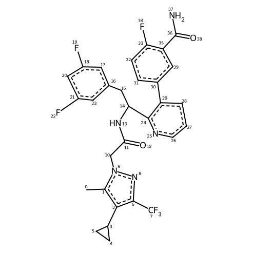 Cc1c(C2CC2)c(C(F)(F)F)nn1CC(=O)NC(Cc1cc(F)cc(F)c1)c1ncccc1-c1ccc(F)c(C(N)=O)c1